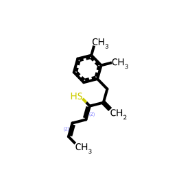 C=C(Cc1cccc(C)c1C)/C(S)=C/C=C\C